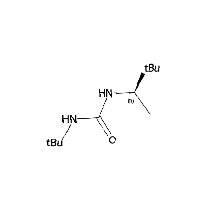 C[C@@H](NC(=O)NC(C)(C)C)C(C)(C)C